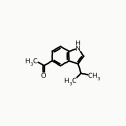 CC(=O)c1ccc2[nH]cc(C(C)C)c2c1